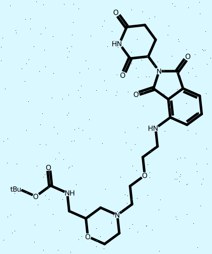 CC(C)(C)OC(=O)NCC1CN(CCOCCNc2cccc3c2C(=O)N(C2CCC(=O)NC2=O)C3=O)CCO1